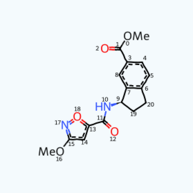 COC(=O)c1ccc2c(c1)[C@H](NC(=O)c1cc(OC)no1)CC2